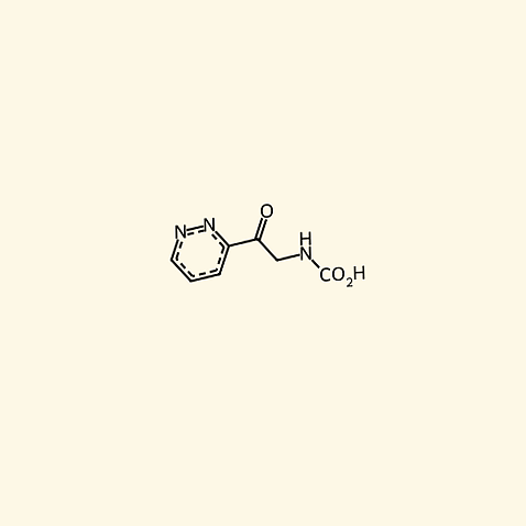 O=C(O)NCC(=O)c1cccnn1